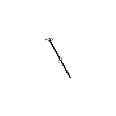 CCCCCCCCCCCCCCCC(=O)OCCCCCCCCCCCCCCCC(=O)O